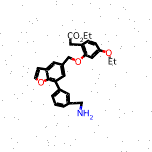 CCOC(=O)Cc1ccc(OCC)cc1OCc1cc(-c2cccc(CN)c2)c2occc2c1